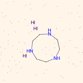 C1CNCCNCCN1.I.I.I